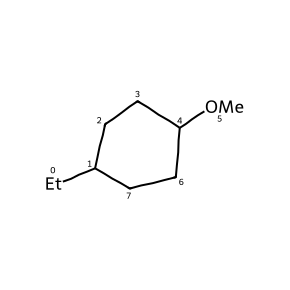 CCC1CCC(OC)CC1